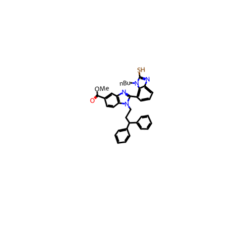 CCCCn1c(S)nc2cccc(-c3nc4cc(C(=O)OC)ccc4n3CCC(c3ccccc3)c3ccccc3)c21